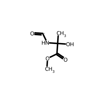 COC(=O)C(C)(O)N[C]=O